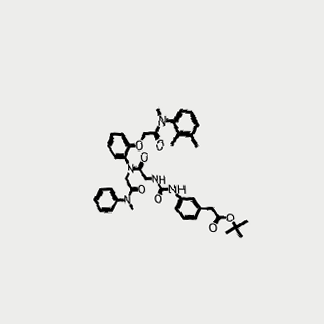 Cc1cccc(N(C)C(=O)COc2ccccc2N(CC(=O)N(C)c2ccccc2)C(=O)CNC(=O)Nc2cccc(CC(=O)OC(C)(C)C)c2)c1C